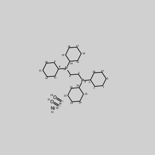 C1CCC(P(CCP(C2CCCCC2)C2CCCCC2)C2CCCCC2)CC1.[C]=O.[C]=O.[Ni]